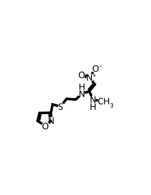 CN/C(=C/[N+](=O)[O-])NCCSCc1ccon1